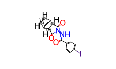 O=C(NN1C(=O)[C@@H]2C3C=CC([C@H]4C[C@@H]34)[C@@H]2C1=O)c1ccc(I)cc1